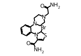 NC(=O)CN1CCN(c2ccccc2N2C(C(N)=O)=CSC2Br)CC1